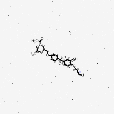 CC(=O)OCC(COc1ccc(C(C)(C)c2ccc(OC/C=C/Cl)c(S)c2)cc1)OC(C)=O